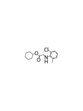 Cc1cccc(Cl)c1N[C@@H](C)C(=O)OC1CCCCC1